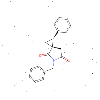 O=C1C[C@]2(C[C@H]2c2ccccc2)C(=O)N1Cc1ccccc1